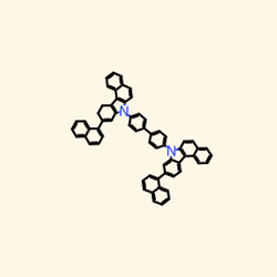 C1=C(c2cccc3ccccc23)CCc2c1n(-c1ccc(-c3ccc(-n4c5cc(-c6cccc7ccccc67)ccc5c5c6ccccc6ccc54)cc3)cc1)c1ccc3ccccc3c21